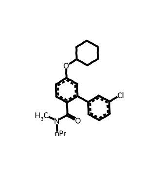 [CH2]CCN(C)C(=O)c1ccc(OC2CCCCC2)cc1-c1cccc(Cl)c1